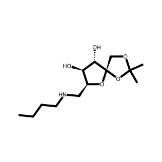 CCCCNC[C@@H]1O[C@]2(COC(C)(C)O2)[C@@H](O)[C@@H]1O